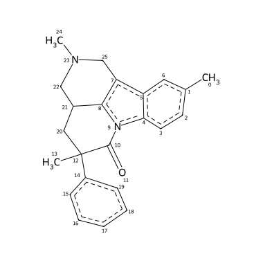 Cc1ccc2c(c1)c1c3n2C(=O)C(C)(c2ccccc2)CC3CN(C)C1